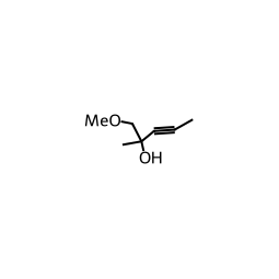 CC#CC(C)(O)COC